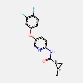 C[C@@H]1C[C@@H]1C(=O)Nc1ccc(Oc2ccc(F)c(F)c2)cn1